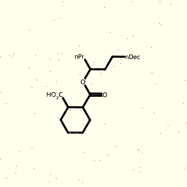 CCCCCCCCCCCCC(CCC)OC(=O)C1CCCCC1C(=O)O